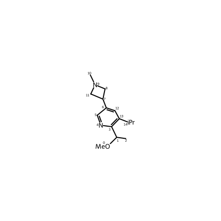 COC(C)c1ncc(C2CN(C)C2)cc1C(C)C